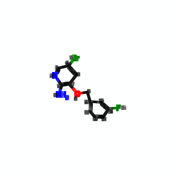 Nc1ncc(Br)cc1OCc1cccc(F)c1